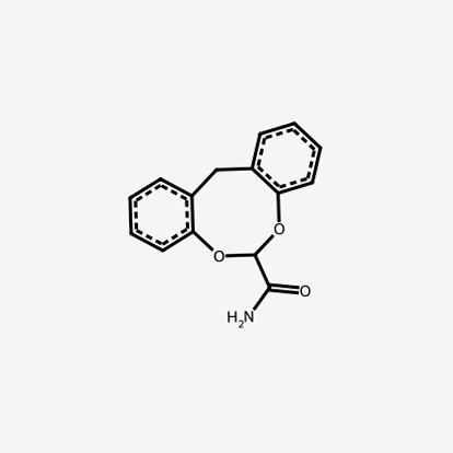 NC(=O)C1Oc2ccccc2Cc2ccccc2O1